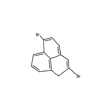 BrC1=Cc2ccc(Br)c3cccc(c23)C1